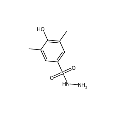 Cc1cc(S(=O)(=O)NN)cc(C)c1O